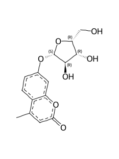 Cc1cc(=O)oc2cc(O[C@@H]3O[C@H](CO)[C@H](O)[C@H]3O)ccc12